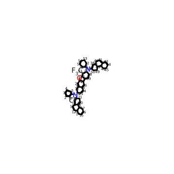 FC(F)(F)c1ccccc1N(C1C=C2C=CC3CC=CCC3C2=CC1)C1C=CC2=CC3C(C=C2C1)OC1CC(N(C2=CC4CC=C5C=CCCC5C4CC2)C2CCC=CC2C(F)(F)F)C=CC13